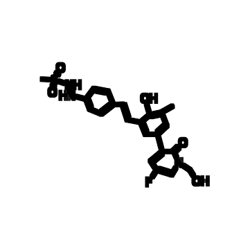 Cc1cc(-c2cc(F)cn(CO)c2=O)cc(/C=C/c2ccc(NNS(C)(=O)=O)cc2)c1O